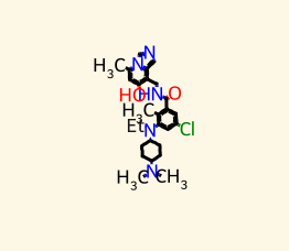 CCN(c1cc(Cl)cc(C(=O)NCc2c(O)cc(C)n3cncc23)c1C)[C@H]1CC[C@H](N(C)C)CC1